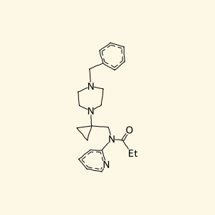 CCC(=O)N(CC1(N2CCN(Cc3ccccc3)CC2)CC1)c1ccccn1